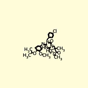 COC(=O)C(C)(C)Cn1c(=O)[nH]/c(=N\c2ccc(OC(C)C)c(OC)c2)n(Cc2ccc(Cl)cc2)c1=O